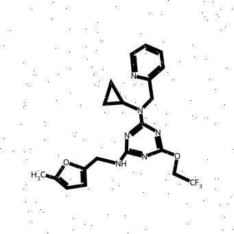 Cc1ccc(CNc2nc(OCC(F)(F)F)nc(N(Cc3ccccn3)C3CC3)n2)o1